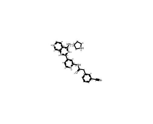 N#Cc1cccc(CC(=O)Nc2cc(-c3nc(N[C@@H]4CCNC4)c4ccncc4n3)ccn2)c1